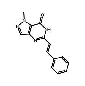 Cn1ncc2nc(C=Cc3ccccc3)[nH]c(=O)c21